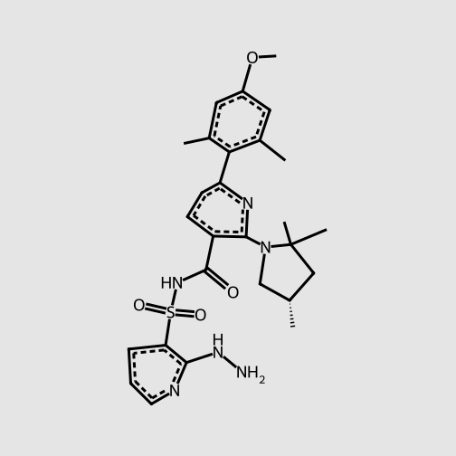 COc1cc(C)c(-c2ccc(C(=O)NS(=O)(=O)c3cccnc3NN)c(N3C[C@@H](C)CC3(C)C)n2)c(C)c1